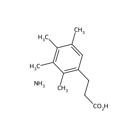 Cc1cc(CCC(=O)O)c(C)c(C)c1C.N